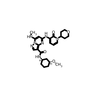 CNc1cc(Nc2cccn(C3CCOCC3)c2=O)nc2c(C(=O)N[C@@H]3CCC[C@@H](OC)C3)cnn12